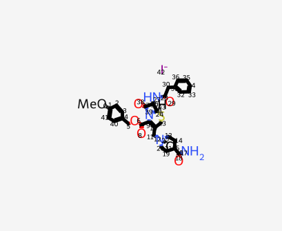 COc1ccc(COC(=O)C2=C(C[N+]34CCC(C(N)=O)(CC3)CC4)CS[C@H]3[C@H](NC(=O)Cc4ccccc4)C(=O)N23)cc1.[I-]